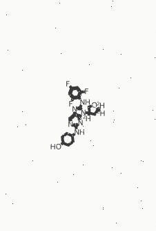 [2H]C1([2H])CC([2H])(n2c(Nc3c(F)cc(F)cc3F)nc3cnc(NC4CCC(O)CC4)nc32)CO1